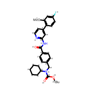 COc1cc(F)ccc1-c1ccnc(NC(=O)c2ccc(CN(C(=O)OC(C)(C)C)C3CCCCC3)cc2)c1